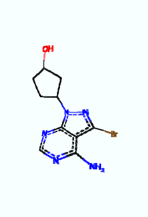 Nc1ncnc2c1c(Br)nn2C1CCC(O)C1